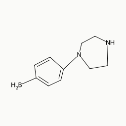 Bc1ccc(N2CCNCC2)cc1